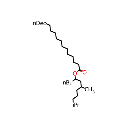 CCCCCCCCCCCCCCCCCCCCCC(=O)OC(CCCC)CC(C)CCCC(C)C